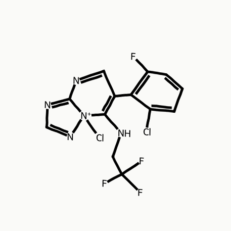 Fc1cccc(Cl)c1C1=C(NCC(F)(F)F)[N+]2(Cl)N=CN=C2N=C1